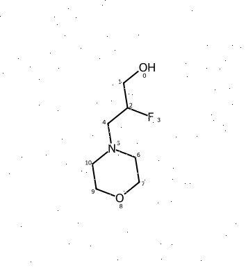 OCC(F)CN1CCOCC1